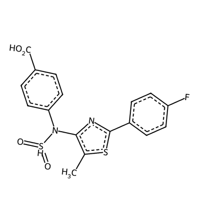 Cc1sc(-c2ccc(F)cc2)nc1N(c1ccc(C(=O)O)cc1)[SH](=O)=O